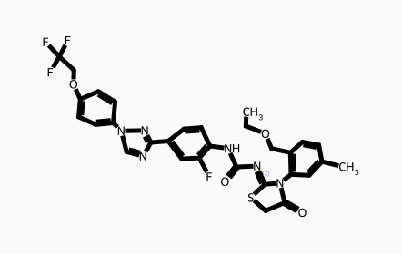 CCOCc1ccc(C)cc1N1C(=O)CS/C1=N\C(=O)Nc1ccc(-c2ncn(-c3ccc(OCC(F)(F)F)cc3)n2)cc1F